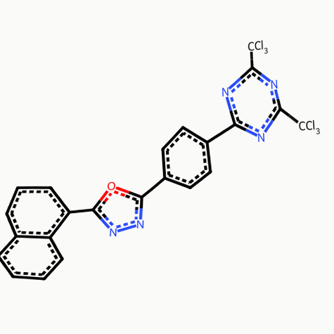 ClC(Cl)(Cl)c1nc(-c2ccc(-c3nnc(-c4cccc5ccccc45)o3)cc2)nc(C(Cl)(Cl)Cl)n1